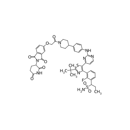 CCC(c1cccc(-c2nc(C(C)(C)C)sc2-c2ccnc(Nc3ccc(C4CCN(C(=O)COc5ccc6c(c5)C(=O)N(C5CCC(=O)NC5=O)C6=O)CC4)cc3)n2)c1F)S(N)(=O)=O